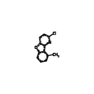 Cc1cccc2oc3ccc(Cl)nc3c12